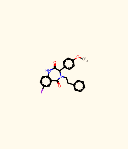 O=C1Nc2ccc(I)cc2C(=O)N(CCc2ccccc2)C1c1ccc(OC(F)(F)F)cc1